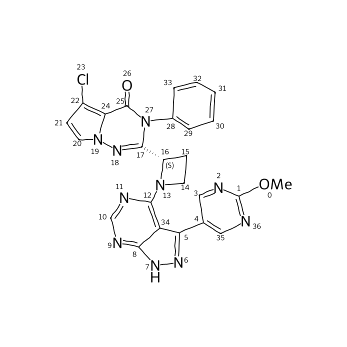 COc1ncc(-c2n[nH]c3ncnc(N4CC[C@H]4c4nn5ccc(Cl)c5c(=O)n4-c4ccccc4)c23)cn1